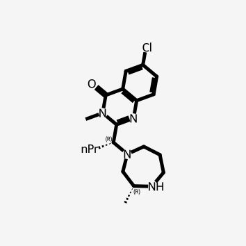 CCC[C@H](c1nc2ccc(Cl)cc2c(=O)n1C)N1CCCN[C@H](C)C1